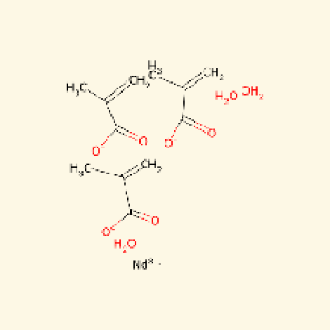 C=C(C)C(=O)[O-].C=C(C)C(=O)[O-].C=C(C)C(=O)[O-].O.O.O.[Nd+3]